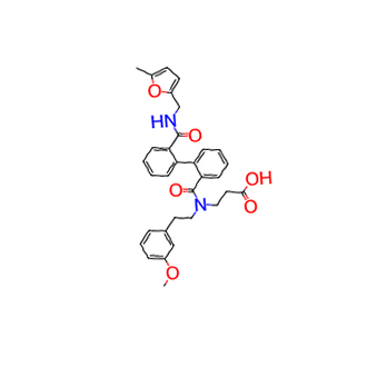 COc1cccc(CCN(CCC(=O)O)C(=O)c2ccccc2-c2ccccc2C(=O)NCc2ccc(C)o2)c1